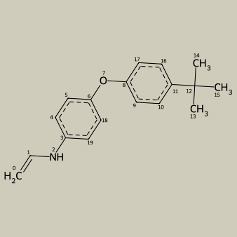 C=CNc1ccc(Oc2ccc(C(C)(C)C)cc2)cc1